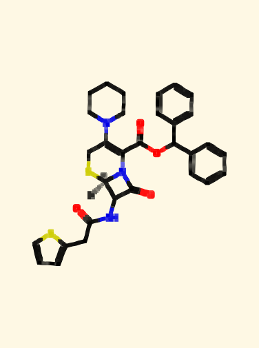 O=C(Cc1cccs1)NC1C(=O)N2C(C(=O)OC(c3ccccc3)c3ccccc3)=C(N3CCCCC3)CS[C@H]12